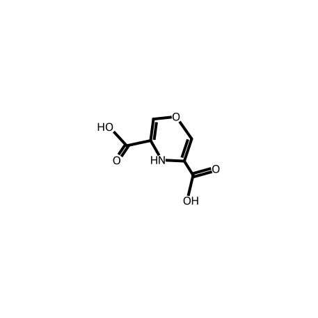 O=C(O)C1=COC=C(C(=O)O)N1